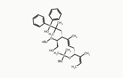 C/C=C(/C)[C@@H](C/C=C(\C)[C@@H](CC(C)(C)[Si](O)(c1ccccc1)c1ccccc1)[C@@H](CO)OCCCC)O[Si](C)(C)C(C)(C)C